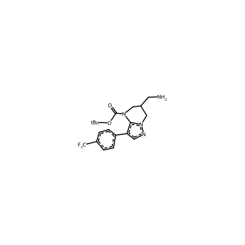 CC(C)(C)OC(=O)N1CC(CN)Cn2ncc(-c3ccc(C(F)(F)F)cc3)c21